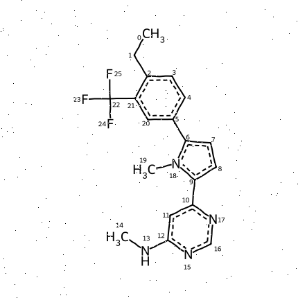 CCc1ccc(-c2ccc(-c3cc(NC)ncn3)n2C)cc1C(F)(F)F